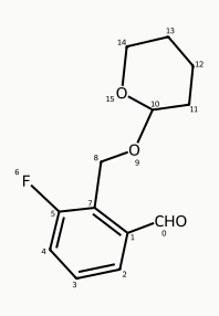 O=Cc1cccc(F)c1COC1CCCCO1